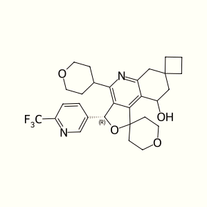 OC1CC2(CCC2)Cc2nc(C3CCOCC3)c3c(c21)C1(CCOCC1)O[C@@H]3c1ccc(C(F)(F)F)nc1